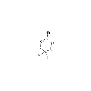 CCC1SCC(C)(C)CS1